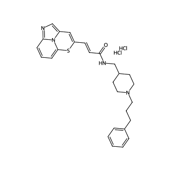 Cl.Cl.O=C(C=CC1=Cc2cnc3cccc(n23)S1)NCC1CCN(CCCc2ccccc2)CC1